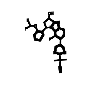 CC(C)(C#N)c1ncc(-c2ccc3nc4n(c3c2F)[C@@H](c2ccccc2OC(F)F)CC4O)cn1